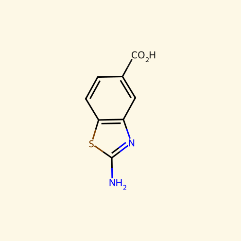 Nc1nc2cc(C(=O)O)ccc2s1